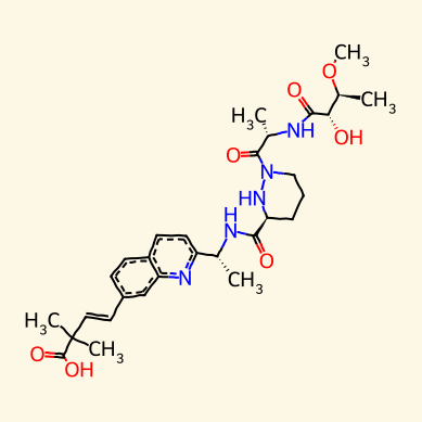 CO[C@@H](C)[C@H](O)C(=O)N[C@@H](C)C(=O)N1CCC[C@@H](C(=O)N[C@H](C)c2ccc3ccc(/C=C/C(C)(C)C(=O)O)cc3n2)N1